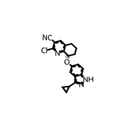 N#Cc1cc2c(nc1Cl)[C@@H](Oc1ccc3[nH]nc(C4CC4)c3c1)CCC2